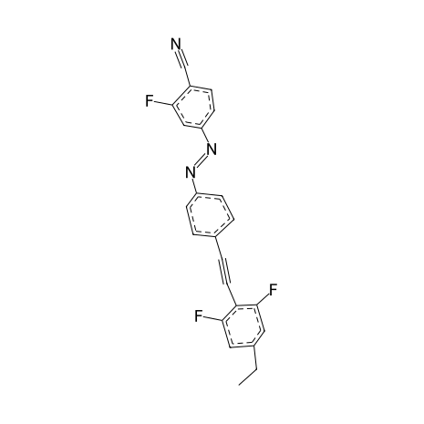 CCc1cc(F)c(C#Cc2ccc(N=Nc3ccc(C#N)c(F)c3)cc2)c(F)c1